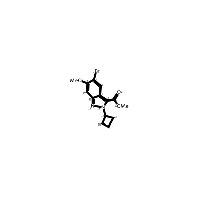 COC(=O)c1c2cc(Br)c(OC)cc2nn1C1CCC1